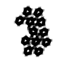 Fc1ccccc1N1c2cc3c(cc2B2c4ccccc4N(c4ccccc4)c4cc(N(c5ccccc5)c5ccccc5)cc1c42)B1c2ccccc2N(c2ccccc2)c2cc(N(c4ccccc4)c4ccccc4)cc(c21)S3